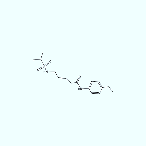 CCc1ccc(NC(=O)CCCCNS(=O)(=O)C(C)C)cc1